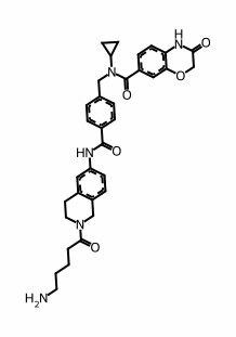 NCCCCC(=O)N1CCc2cc(NC(=O)c3ccc(CN(C(=O)c4ccc5c(c4)OCC(=O)N5)C4CC4)cc3)ccc2C1